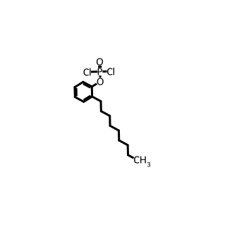 CCCCCCCCCc1ccccc1OP(=O)(Cl)Cl